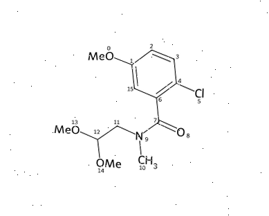 COc1ccc(Cl)c(C(=O)N(C)CC(OC)OC)c1